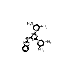 N[C@@H]1C[C@H](N)CN(c2nc(Nc3nc4ccccc4s3)nc(N3C[C@H](N)C[C@H](N)C3)n2)C1